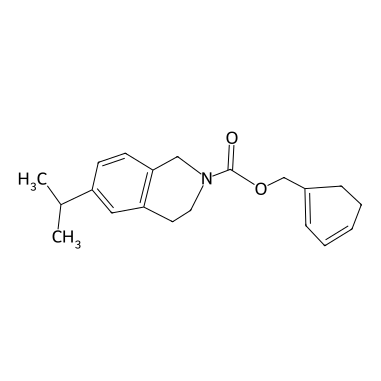 CC(C)c1ccc2c(c1)CCN(C(=O)OCC1=CC=CCC1)C2